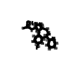 CN(O)Cc1nnc2n1-c1ccc(F)cc1C(c1ccccn1)=NC2